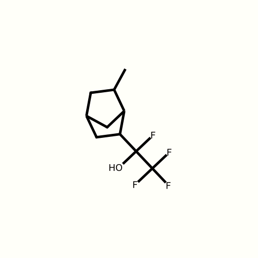 CC1CC2CC1C(C(O)(F)C(F)(F)F)C2